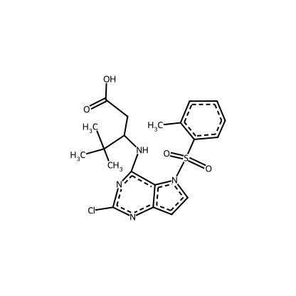 Cc1ccccc1S(=O)(=O)n1ccc2nc(Cl)nc(NC(CC(=O)O)C(C)(C)C)c21